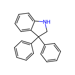 c1ccc(C2(c3ccccc3)CNc3ccccc32)cc1